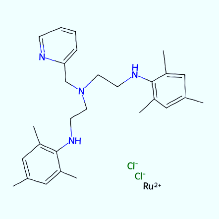 Cc1cc(C)c(NCCN(CCNc2c(C)cc(C)cc2C)Cc2ccccn2)c(C)c1.[Cl-].[Cl-].[Ru+2]